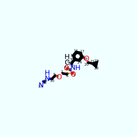 C[C@@H](NS(=O)(=O)CCOCCNC#N)c1cccc(OCC2CC2)c1